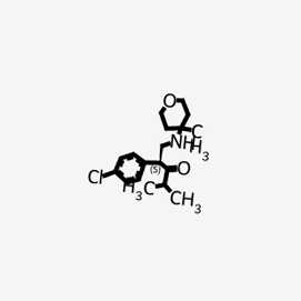 CC(C)C(=O)[C@H](CNC1(C)CCOCC1)c1ccc(Cl)cc1